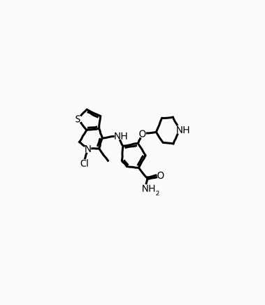 CC1=C(Nc2ccc(C(N)=O)cc2OC2CCNCC2)c2ccsc2CN1Cl